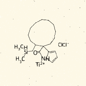 C[SiH](C)CC1CCCCCCCCCCC1(C(=O)[NH][Ti+2])C1=CC=CC1.[Cl-].[Cl-]